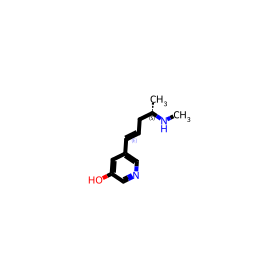 CN[C@@H](C)C/C=C/c1cncc(O)c1